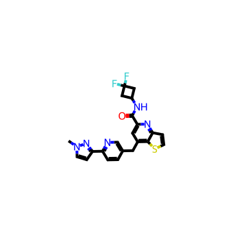 Cn1ccc(-c2ccc(Cc3cc(C(=O)NC4CC(F)(F)C4)nc4ccsc34)cn2)n1